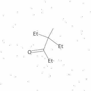 C[CH]C(=O)C(C)(CC)CC